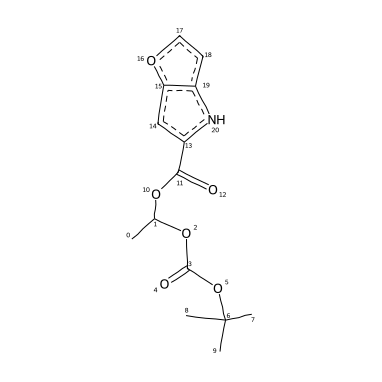 CC(OC(=O)OC(C)(C)C)OC(=O)c1cc2occc2[nH]1